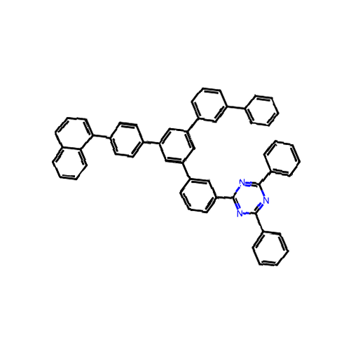 c1ccc(-c2cccc(-c3cc(-c4ccc(-c5cccc6ccccc56)cc4)cc(-c4cccc(-c5nc(-c6ccccc6)nc(-c6ccccc6)n5)c4)c3)c2)cc1